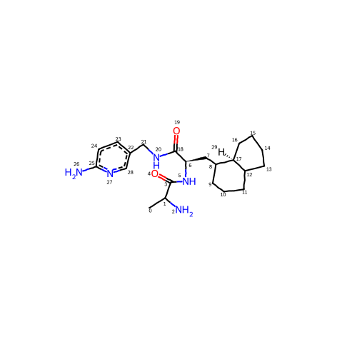 CC(N)C(=O)N[C@H](CC1CCCC2CCCC[C@@H]21)C(=O)NCc1ccc(N)nc1